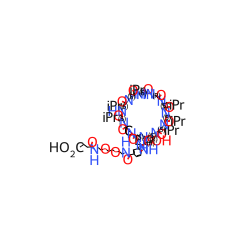 CC[C@@H]1NC(=O)[C@H]([C@H](O)[C@H](C)Cc2nc3cc(C(=O)NCCOCCOCCNC(=O)CCC(=O)O)ccc3[nH]2)N(C)C(=O)[C@H](C(C)C)N(C)C(=O)[C@H](CC(C)C)N(C)C(=O)[C@H](CC(C)C)N(C)C(=O)[C@@H](C)NC(=O)[C@H](C)NC(=O)[C@H](CC(C)C)N(C)C(=O)[C@H](C(C)C)NC(=O)[C@H](CC(C)C)N(C)C(=O)CN(C)C1=O